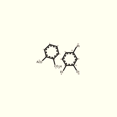 CC(=O)Oc1ccccc1C(=O)O.CCc1ccc(C(C)C)cc1CC